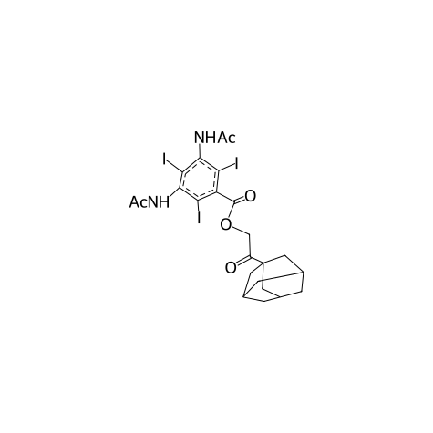 CC(=O)Nc1c(I)c(NC(C)=O)c(I)c(C(=O)OCC(=O)C23CC4CC(CC(C4)C2)C3)c1I